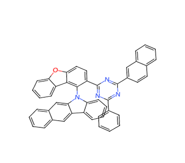 c1ccc(-c2nc(-c3ccc4ccccc4c3)nc(-c3ccc4oc5ccccc5c4c3-n3c4ccccc4c4cc5ccccc5cc43)n2)cc1